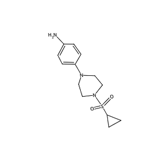 Nc1ccc(N2CCN(S(=O)(=O)C3CC3)CC2)cc1